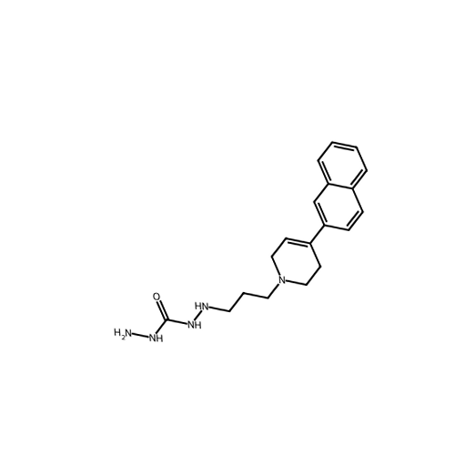 NNC(=O)NNCCCN1CC=C(c2ccc3ccccc3c2)CC1